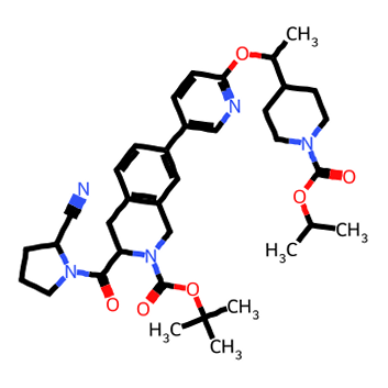 CC(C)OC(=O)N1CCC(C(C)Oc2ccc(-c3ccc4c(c3)CN(C(=O)OC(C)(C)C)C(C(=O)N3CCCC3C#N)C4)cn2)CC1